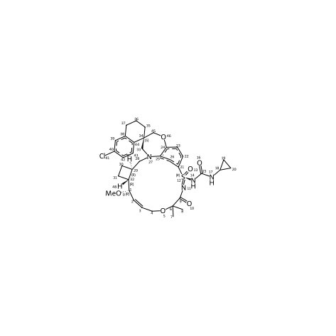 CO[C@H]1C=CCOC(C)(C)C(=O)N=[S@](=O)(NC(=O)NC2CC2)c2ccc3c(c2)N(C[C@@H]2CC[C@H]21)C[C@@]1(CCCc2cc(Cl)ccc21)CO3